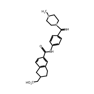 CN1CCN(C(=N)c2ccc(NC(=O)c3ccc4c(c3)CCC(CC(=O)O)C4)cc2)CC1